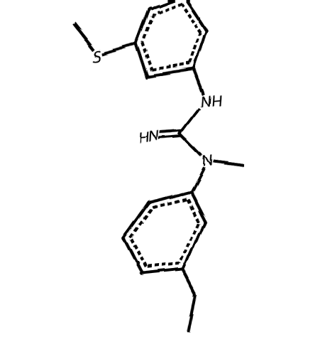 CCc1cccc(N(C)C(=N)Nc2cccc(SC)c2)c1